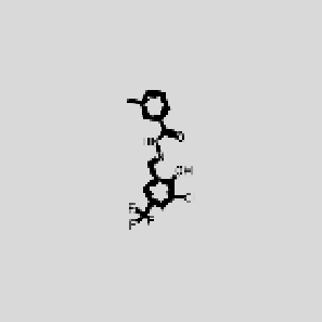 Cc1cccc(C(=O)N/N=C/c2cc(C(F)(F)F)cc(Cl)c2O)c1